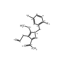 COc1c(CC=O)c(C(C)=O)nn1Cc1cc(F)ccc1F